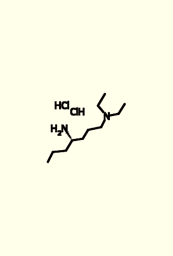 CCC[C@H](N)CCCN(CC)CC.Cl.Cl